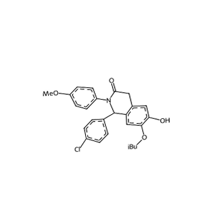 CCC(C)Oc1cc2c(cc1O)CC(=O)N(c1ccc(OC)cc1)C2c1ccc(Cl)cc1